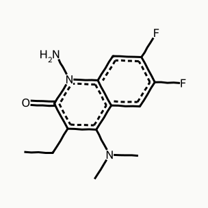 CCc1c(N(C)C)c2cc(F)c(F)cc2n(N)c1=O